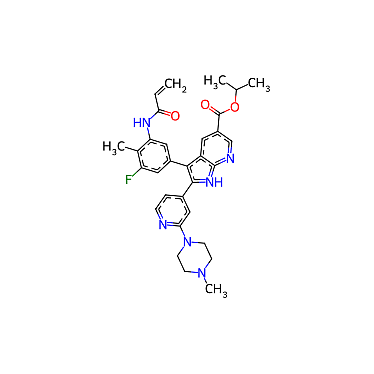 C=CC(=O)Nc1cc(-c2c(-c3ccnc(N4CCN(C)CC4)c3)[nH]c3ncc(C(=O)OC(C)C)cc23)cc(F)c1C